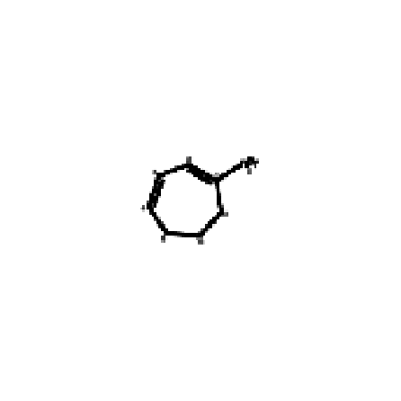 CCCC1=CC=CCCC1